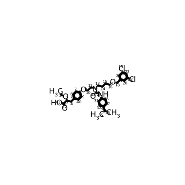 CCOC(Cc1ccc(OCCN(CCCCOCc2cc(Cl)cc(Cl)c2)C(=O)Nc2ccc(C(C)C)cc2)cc1)C(=O)O